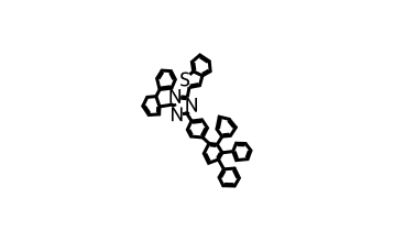 C1=CCC(c2ccccc2)C(c2nc(-c3ccc(-c4ccc(-c5ccccc5)c(-c5ccccc5)c4-c4ccccc4)cc3)nc(-c3cc4ccccc4s3)n2)=C1